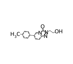 Cc1ccc(-c2ccc3nn(CCO)c(=O)n3c2)cc1